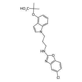 CC(C)(Oc1cccc2c1ccn2CCCNc1nc2cc(Cl)ccc2o1)C(=O)O